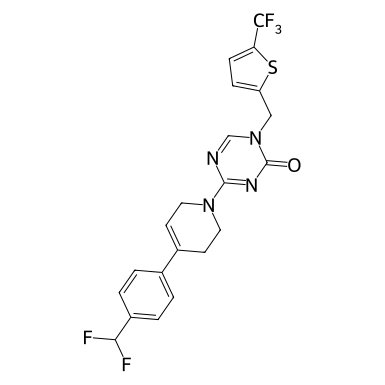 O=c1nc(N2CC=C(c3ccc(C(F)F)cc3)CC2)ncn1Cc1ccc(C(F)(F)F)s1